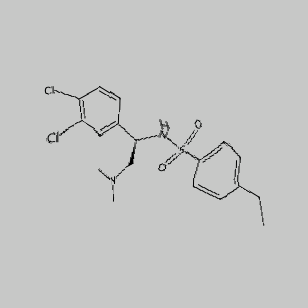 CCc1ccc(S(=O)(=O)N[C@@H](CN(C)C)c2ccc(Cl)c(Cl)c2)cc1